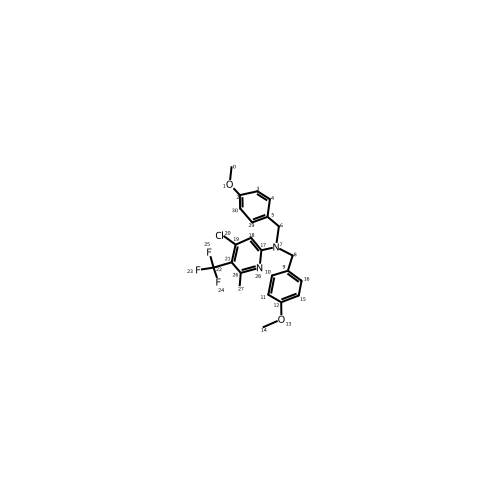 COc1ccc(CN(Cc2ccc(OC)cc2)c2cc(Cl)c(C(F)(F)F)c(C)n2)cc1